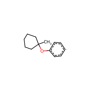 CC1(Oc2cc[c]cc2)CCCCC1